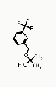 CC(C)(C)OCc1cccc(C(F)(F)F)n1